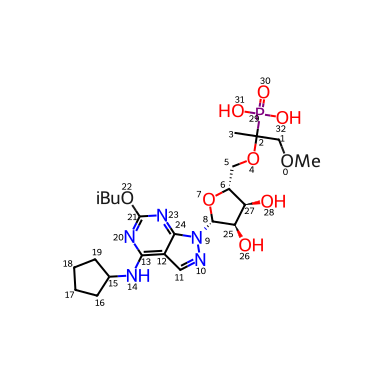 COCC(C)(OC[C@H]1O[C@@H](n2ncc3c(NC4CCCC4)nc(OCC(C)C)nc32)[C@H](O)[C@@H]1O)P(=O)(O)O